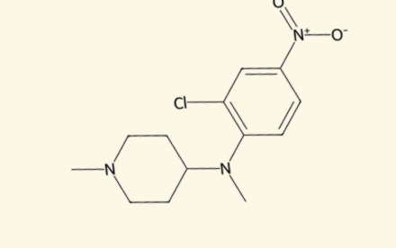 CN1CCC(N(C)c2ccc([N+](=O)[O-])cc2Cl)CC1